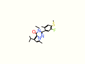 CCn1c(-c2cc(F)c(SC)cc2C)nn2c(C)cc(C(C)C)c2c1=O